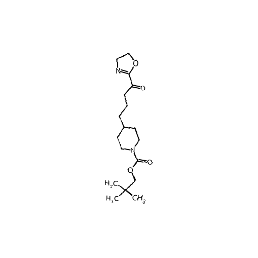 CC(C)(C)COC(=O)N1CCC(CCCC(=O)C2=NCCO2)CC1